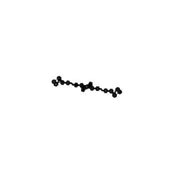 C(=C\c1ccc(-c2ccc3c(c2)c2ccccc2n3-c2cccc3ccccc23)cc1)/c1ccc(-c2ccc3c(c2)C2(CCCC2)c2cc4c(cc2-3)C2(CCCC2)c2cc(-c3ccc(/C=C/c5ccc(-c6ccc7c(c6)c6ccccc6n7-c6cccc7ccccc67)cc5)cc3)ccc2-4)cc1